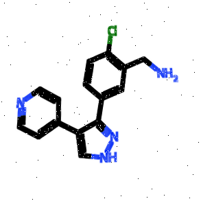 NCc1cc(-c2n[nH]cc2-c2ccncc2)ccc1Cl